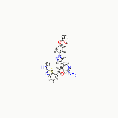 CCNc1nc2cccc(-c3cc4c(-c5cnn(C6CCC(OC(=O)C(F)(F)F)CC6)c5)cnc(N)c4o3)c2s1